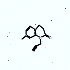 C#CCN1C(=O)CCc2ccc(C)cc21